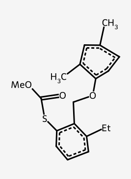 CCc1cccc(SC(=O)OC)c1COc1ccc(C)cc1C